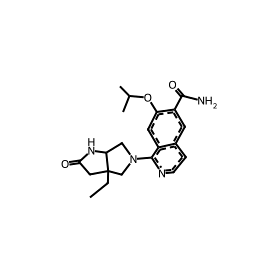 CCC12CC(=O)NC1CN(c1nccc3cc(C(N)=O)c(OC(C)C)cc13)C2